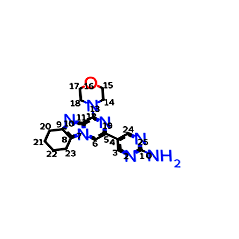 Nc1ncc(-c2cn3c4c(nc3c(N3CCOCC3)n2)CCCC4)cn1